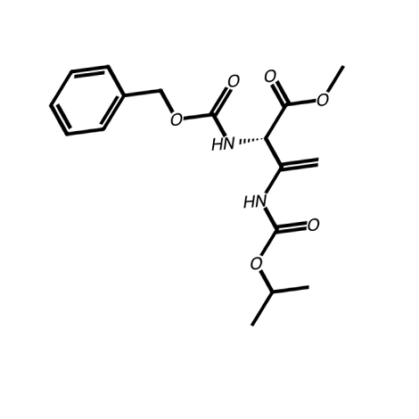 C=C(NC(=O)OC(C)C)[C@H](NC(=O)OCc1ccccc1)C(=O)OC